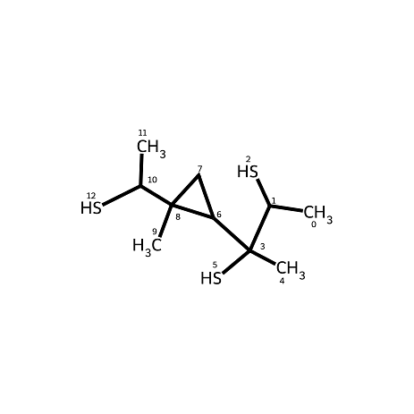 CC(S)C(C)(S)C1CC1(C)C(C)S